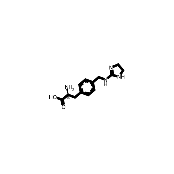 N[C@@H](Cc1ccc(CNC2=NCCN2)cc1)C(=O)O